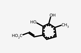 Cc1ccc(C=CC(=O)O)c(O)c1O